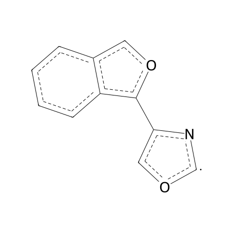 [c]1nc(-c2occ3ccccc23)co1